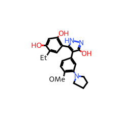 CCc1cc(-c2[nH]nc(O)c2-c2ccc(OC)c(N3CCCC3)c2)c(O)cc1O